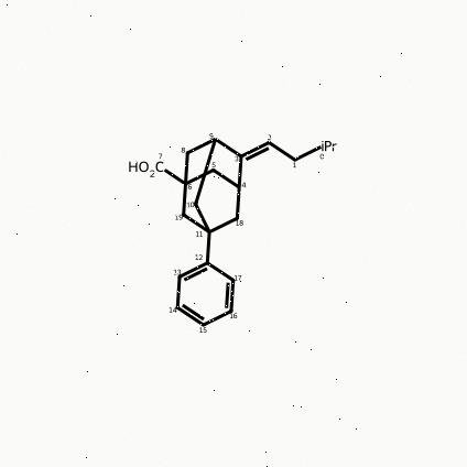 CC(C)CC=C1C2CC3(C(=O)O)CC1CC(c1ccccc1)(C2)C3